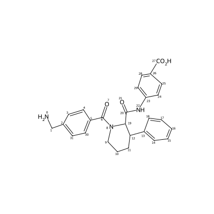 NCc1ccc(C(=O)N2CCCC(c3ccccc3)C2C(=O)Nc2ccc(C(=O)O)cc2)cc1